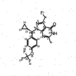 Cc1nc2c(c(CF)nn2[C@@H](c2ccc(OC(F)(F)F)cc2)C2CC2)c(=O)[nH]1